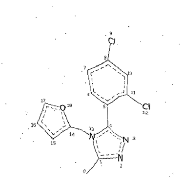 Cc1nnc(-c2ccc(Cl)cc2Cl)n1-c1ccco1